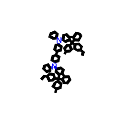 C=CC1=CC=C(C2(c3ccc(C)cc3)c3ccccc3-c3ccc(N(c4ccccc4)c4ccc(-c5ccc(N(c6ccccc6)c6ccc7c(c6)C(c6ccc(C)cc6)(c6ccc(C=C)cc6)c6ccccc6-7)cc5)cc4)cc32)CC1